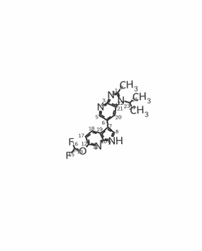 Cc1nc2ncc(-c3c[nH]c4nc(OC(F)F)ccc34)cc2n1C(C)C